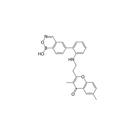 Cc1ccc2oc(CCNc3ccccc3-c3ccc4c(c3)C=NOB4O)c(C)c(=O)c2c1